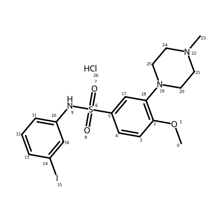 COc1ccc(S(=O)(=O)Nc2cccc(I)c2)cc1N1CCN(C)CC1.Cl